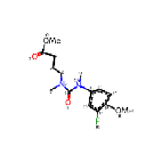 COC(=O)CCCN(C)C(=O)N(C)c1ccc(OC)c(F)c1